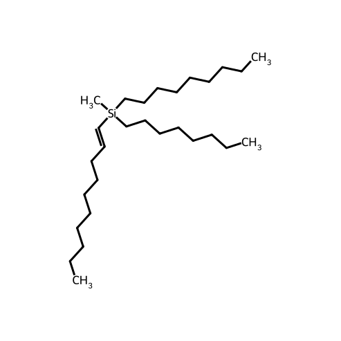 CCCCCCCCC=C[Si](C)(CCCCCCCC)CCCCCCCCC